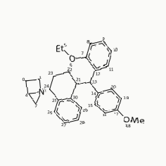 C1CN2CC12.CCOc1ccccc1C(c1ccc(OC)cc1)C1CCCc2ccccc21